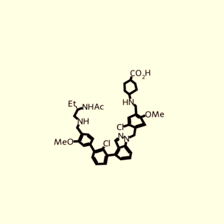 CC[C@@H](CNCc1ccc(-c2cccc(-c3cccc4c3cnn4Cc3cc(OC)c(CNC4CCC(C(=O)O)CC4)cc3Cl)c2Cl)cc1OC)NC(C)=O